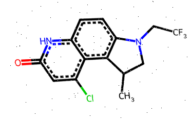 CC1CN(CC(F)(F)F)c2ccc3[nH]c(=O)cc(Cl)c3c21